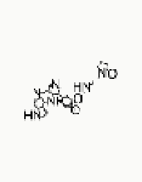 COc1ccc(-c2cncc(C#N)c2Nc2cccc3[nH]ccc23)cc1OCCNCCCN1CCCC1=O